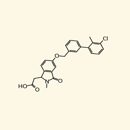 Cc1c(Cl)cccc1-c1cccc(COc2ccc3c(c2)C(=O)N(C)C3CC(=O)O)c1